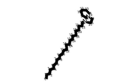 CCCCCCCCCCCCCCCCCCCCCCCCN1CCC[N+]2=C1CCCCC2